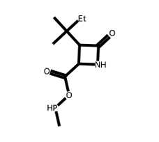 CCC(C)(C)C1C(=O)NC1C(=O)OPC